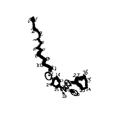 CCCCCCCCCCCCOc1ccc(N(C)[PH](=O)Oc2ccccc2)cc1